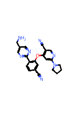 N#Cc1ccc(-c2ncc(CN)cn2)c(Oc2cc(N3CCCC3)ncc2C#N)c1